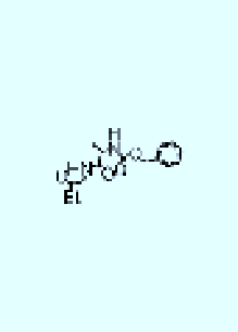 CCC(=O)CNC(=O)C(C)NC(=O)OCc1ccccc1